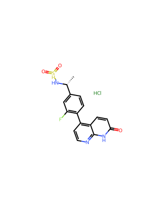 C[C@@H](N[SH](=O)=O)c1ccc(-c2ccnc3[nH]c(=O)ccc23)c(F)c1.Cl